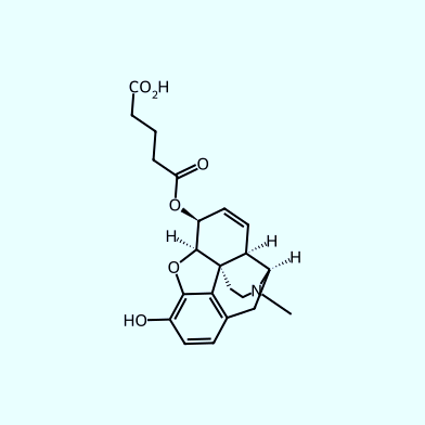 CN1CC[C@]23c4c5ccc(O)c4O[C@H]2[C@@H](OC(=O)CCCC(=O)O)C=C[C@H]3[C@H]1C5